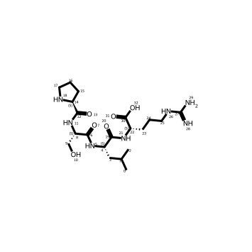 CC(C)C[C@H](NC(=O)[C@H](CO)NC(=O)[C@@H]1CCCN1)C(=O)N[C@@H](CCCNC(=N)N)C(=O)O